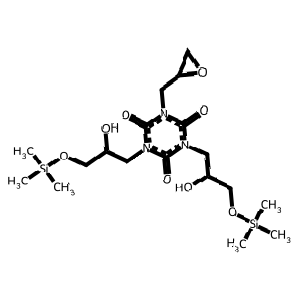 C[Si](C)(C)OCC(O)Cn1c(=O)n(CC(O)CO[Si](C)(C)C)c(=O)n(CC2CO2)c1=O